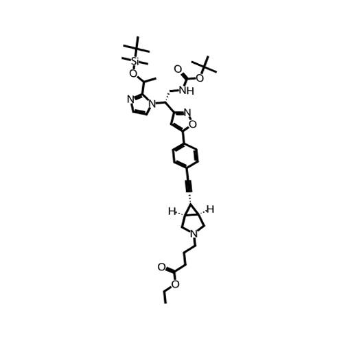 CCOC(=O)CCCN1C[C@@H]2[C@@H](C#Cc3ccc(-c4cc([C@@H](CNC(=O)OC(C)(C)C)n5ccnc5C(C)O[Si](C)(C)C(C)(C)C)no4)cc3)[C@@H]2C1